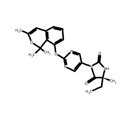 CC[C@@]1(C)NC(=O)N(c2cnc(Oc3cccc4c3C(C)(C)OC(C)=C4)nc2)C1=O